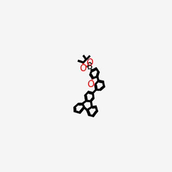 CC1OB(c2ccc3c(c2)oc2c(-c4ccc5c6ccccc6c6ccccc6c5c4)cccc23)OC1(C)C